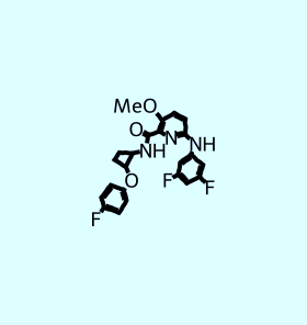 COc1ccc(Nc2cc(F)cc(F)c2)nc1C(=O)NC1CCC1Oc1ccc(F)cc1